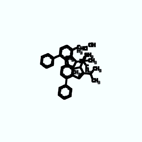 CC1=Cc2c(-c3ccccc3)ccc(C)c2[CH]1[Zr]([CH3])([CH3])(=[SiH2])[CH]1C(C(C)C)=Cc2c(-c3ccccc3)ccc(C)c21.Cl.Cl